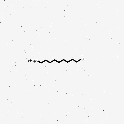 [CH2]CC(C)CCCCCCCCCCCCCC[CH]C